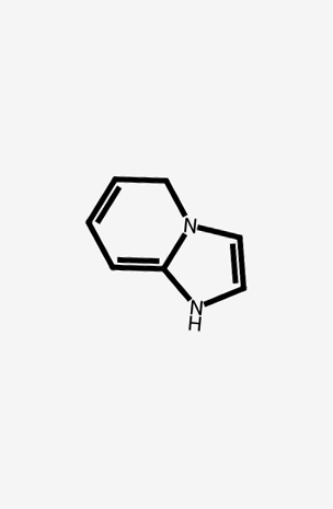 C1=CCN2C=CNC2=C1